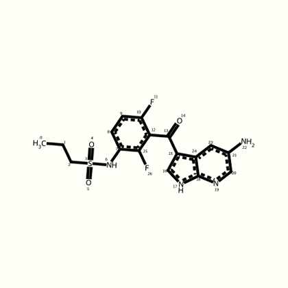 CCCS(=O)(=O)Nc1ccc(F)c(C(=O)c2c[nH]c3ncc(N)cc23)c1F